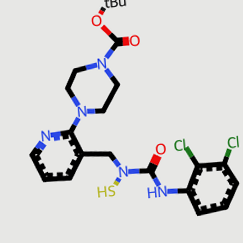 CC(C)(C)OC(=O)N1CCN(c2ncccc2CN(S)C(=O)Nc2cccc(Cl)c2Cl)CC1